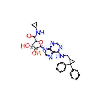 O=C(NC1CC1)[C@H]1O[C@@H](n2cnc3c(NCC4CC4(c4ccccc4)c4ccccc4)ncnc32)[C@H](O)[C@@H]1O